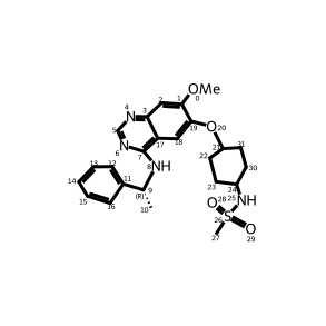 COc1cc2ncnc(N[C@H](C)c3ccccc3)c2cc1OC1CCC(NS(C)(=O)=O)CC1